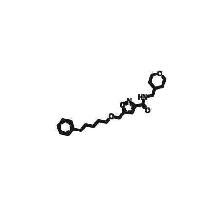 O=C(NCC1CCOCC1)c1cc(COCCCCCc2ccccc2)on1